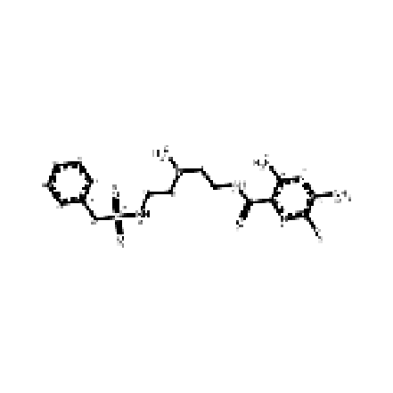 CN(CCNC(=O)c1nc(Cl)c(N)nc1N)CCNS(=O)(=O)Cc1ccccc1